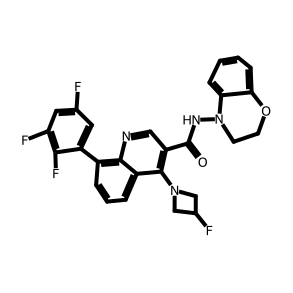 O=C(NN1CCOc2ccccc21)c1cnc2c(-c3cc(F)cc(F)c3F)cccc2c1N1CC(F)C1